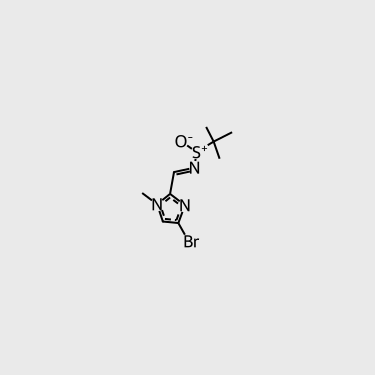 Cn1cc(Br)nc1/C=N/[S+]([O-])C(C)(C)C